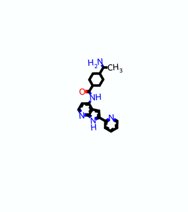 CC(N)C1CCC(C(=O)Nc2ccnc3[nH]c(-c4ccccn4)cc23)CC1